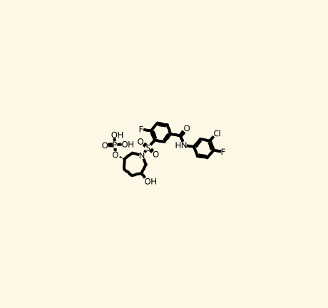 O=C(Nc1ccc(F)c(Cl)c1)c1ccc(F)c(S(=O)(=O)N2CC(O)CC[C@H](OP(=O)(O)O)C2)c1